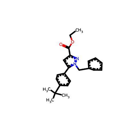 CCOC(=O)c1cc(-c2ccc(C(C)(C)C)cc2)n(Cc2ccccc2)n1